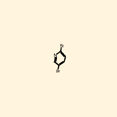 Brc1[c]nc(Br)cc1